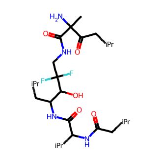 CC(C)CC(=O)NC(C(=O)NC(CC(C)C)C(O)C(F)(F)CNC(=O)C(C)(N)C(=O)CC(C)C)C(C)C